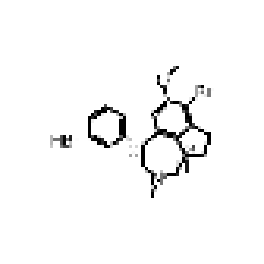 Br.COc1cc2c3c(c1Br)CC[C@@H]3CN(C)C[C@@H]2c1ccccc1